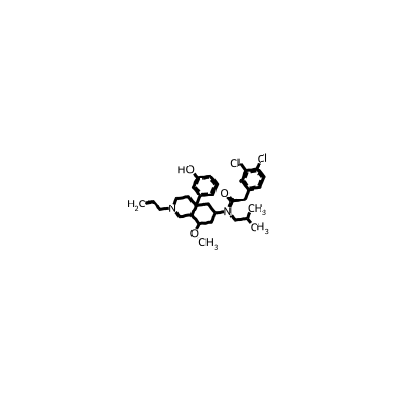 C=CCN1CCC2(c3cccc(O)c3)CC(N(CC(C)C)C(=O)Cc3ccc(Cl)c(Cl)c3)CC(OC)C2C1